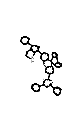 C1=Cc2c(-c3ccccc3)ccc(-c3ccc4c(c3)Sc3cc(-c5nc(-c6ccccc6)cc(-c6ccccc6)n5)ccc3C43c4ccccc4-c4ccccc43)c2NC1